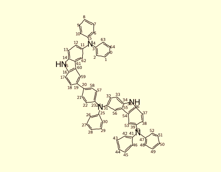 c1ccc(N(c2ccccc2)c2ccc3[nH]c4ccc(-c5ccc(N(c6ccccc6)c6ccc7[nH]c8ccc(N(c9ccccc9)c9ccccc9)cc8c7c6)cc5)cc4c3c2)cc1